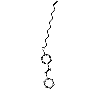 C=CCCCCCCCCCOc1ccc(N=Nc2ccccc2)cc1